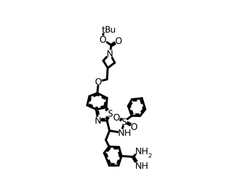 CC(C)(C)OC(=O)N1CC(COc2ccc3nc(C(Cc4cccc(C(=N)N)c4)NS(=O)(=O)c4ccccc4)sc3c2)C1